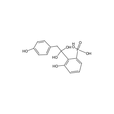 O=P(O)(O)c1cccc(O)c1C(O)(O)Cc1ccc(O)cc1